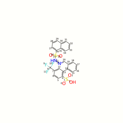 O=S(=O)(O)c1ccc(C(F)(F)F)cc1-c1ccccc1C=NNS(=O)(=O)c1cccc2ccccc12